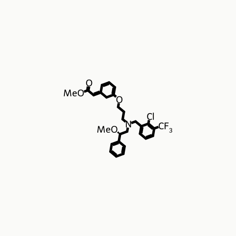 COC(=O)C=C1C=CC=C(OCCCN(Cc2cccc(C(F)(F)F)c2Cl)C[C@H](OC)c2ccccc2)C1